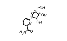 NC(=O)c1cccc([C@@H]2O[C@H](CO)[C@H](O)C2O)n1